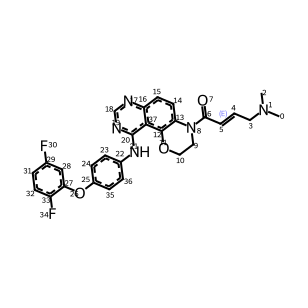 CN(C)C/C=C/C(=O)N1CCOc2c1ccc1ncnc(Nc3ccc(Oc4cc(F)ccc4F)cc3)c21